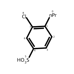 CCCc1ccc(S(=O)(=O)O)cc1Cl